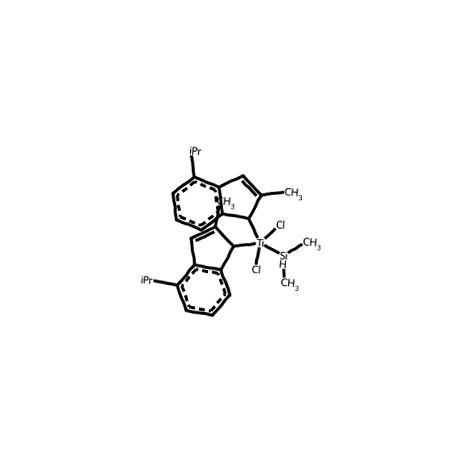 CC1=Cc2c(C(C)C)cccc2[CH]1[Ti]([Cl])([Cl])([CH]1C(C)=Cc2c(C(C)C)cccc21)[SiH](C)C